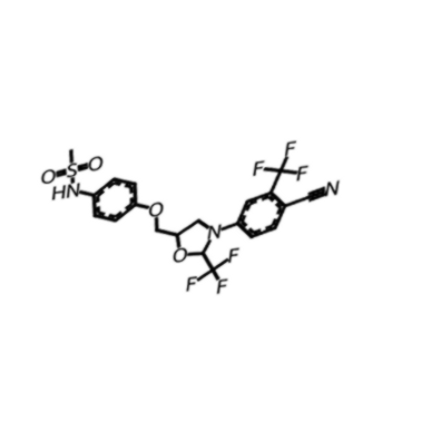 CS(=O)(=O)Nc1ccc(OCC2CN(c3ccc(C#N)c(C(F)(F)F)c3)C(C(F)(F)F)O2)cc1